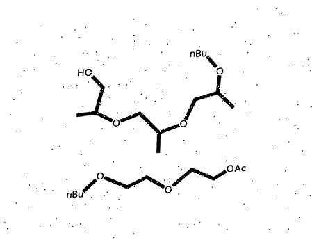 CCCCOC(C)COC(C)COC(C)CO.CCCCOCCOCCOC(C)=O